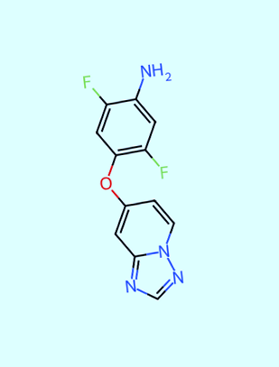 Nc1cc(F)c(Oc2ccn3ncnc3c2)cc1F